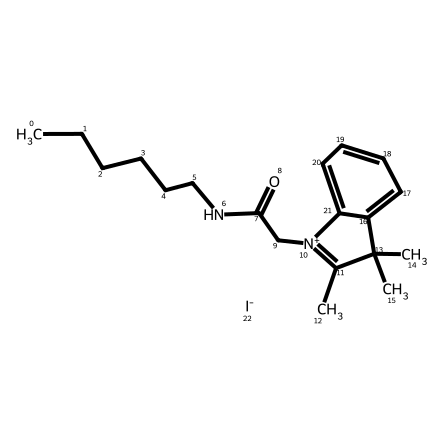 CCCCCCNC(=O)C[N+]1=C(C)C(C)(C)c2ccccc21.[I-]